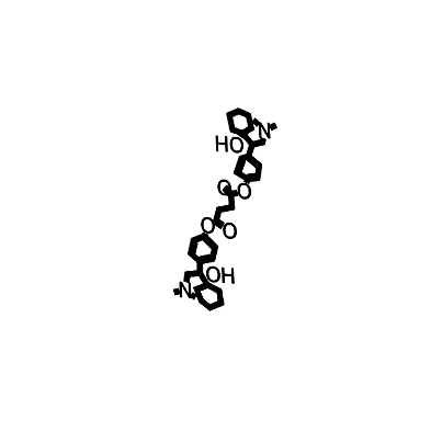 CN(C)CC(c1ccc(OC(=O)CCC(=O)Oc2ccc(C(CN(C)C)C3(O)CCCCC3)cc2)cc1)C1(O)CCCCC1